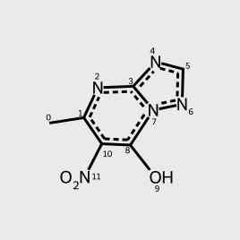 Cc1nc2ncnn2c(O)c1[N+](=O)[O-]